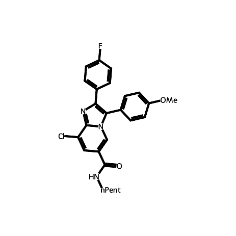 CCCCCNC(=O)c1cc(Cl)c2nc(-c3ccc(F)cc3)c(-c3ccc(OC)cc3)n2c1